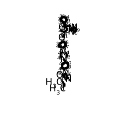 CCC(C)n1ncn(-c2ccc(N3CCN(c4ccc(OC[C@@H]5COC(Cn6nccn6)(c6ccccc6)O5)cc4)CC3)cc2)c1=O